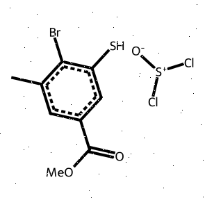 COC(=O)c1cc(C)c(Br)c(S)c1.[O-][S+](Cl)Cl